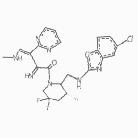 CN/C=C(\C(=N)C(=O)N1CC(F)(F)C[C@@H](C)C1CNc1nc2cc(Cl)ccc2o1)c1ncccn1